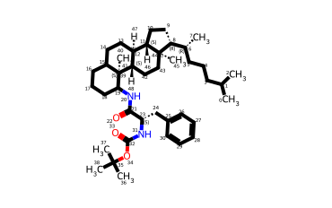 CC(C)CCC[C@@H](C)[C@H]1CC[C@H]2[C@@H]3CCC4CCCC(NC(=O)[C@H](Cc5ccccc5)NC(=O)OC(C)(C)C)[C@]4(C)[C@H]3CC[C@]12C